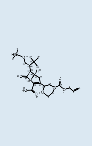 C=CCOC(=O)N1CCOC(C2=C(C(=O)O)N3C(=O)[C@@H]([C@@H](CO[SiH](C)C)C(C)(C)C)[C@H]3C2)C1